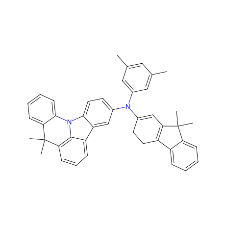 Cc1cc(C)cc(N(C2=CC3=C(CC2)c2ccccc2C3(C)C)c2ccc3c(c2)c2cccc4c2n3-c2ccccc2C4(C)C)c1